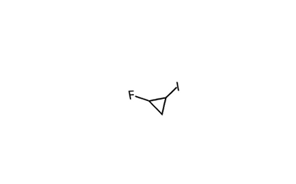 FC1CC1I